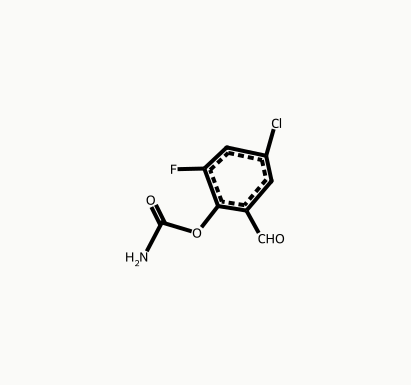 NC(=O)Oc1c(F)cc(Cl)cc1C=O